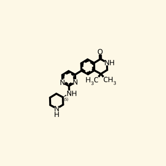 CC1(C)CNC(=O)c2ccc(-c3ccnc(N[C@H]4CCCNC4)n3)cc21